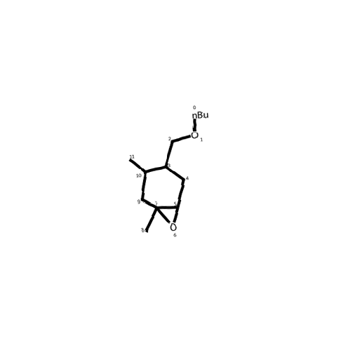 CCCCOCC1CC2OC2(C)CC1C